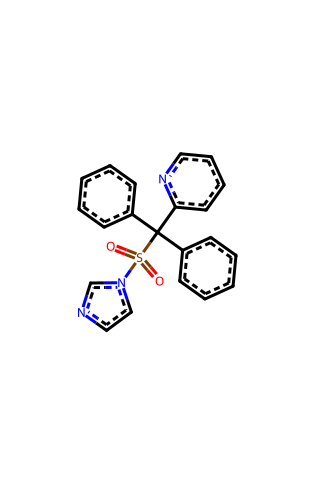 O=S(=O)(n1ccnc1)C(c1ccccc1)(c1ccccc1)c1ccccn1